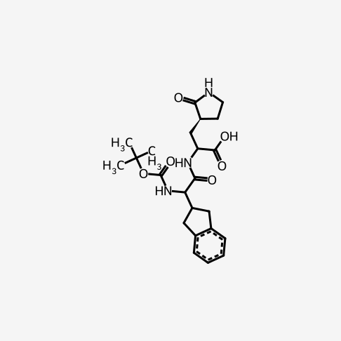 CC(C)(C)OC(=O)NC(C(=O)NC(C[C@@H]1CCNC1=O)C(=O)O)C1Cc2ccccc2C1